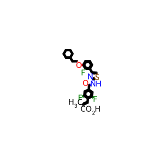 C/C(=C\c1c(F)cc(C(=O)Nc2nc(-c3cccc(OCCC4CCCCC4)c3F)cs2)cc1F)C(=O)O